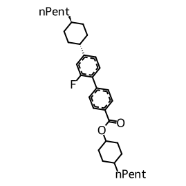 CCCCCC1CCC(OC(=O)c2ccc(-c3ccc([C@H]4CC[C@H](CCCCC)CC4)cc3F)cc2)CC1